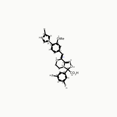 COc1cc(/C=C2\OCCN3C2=NOC3(C(=O)O)c2cc(F)cc(F)c2)ccc1-n1cnc(C)c1